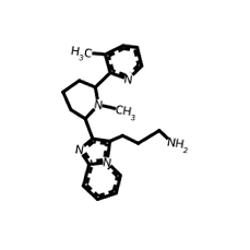 Cc1cccnc1C1CCCC(c2nc3ccccn3c2CCCN)N1C